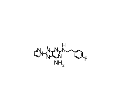 Cn1c(-n2cccn2)nc2c(N)nc(NCCc3ccc(F)cc3)nc21